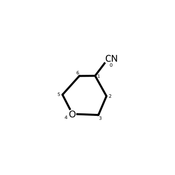 N#CC1CCOCC1